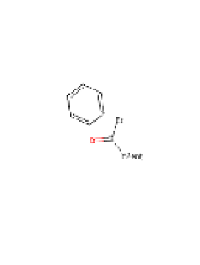 CCCCCC(=O)CC.c1ccccc1